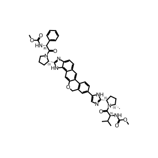 COC(=O)N[C@H](C(=O)N1[C@@H](C)CC[C@H]1c1ncc(-c2ccc3c(c2)COc2cc4c(ccc5nc([C@@H]6CCCN6C(=O)[C@H](NC(=O)OC)c6ccccc6)[nH]c54)cc2-3)[nH]1)C(C)C